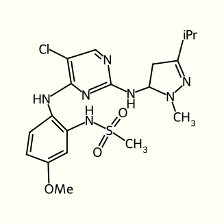 COc1ccc(Nc2nc(NC3CC(C(C)C)=NN3C)ncc2Cl)c(NS(C)(=O)=O)c1